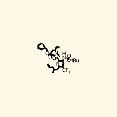 C=CCCC(OCc1ccccc1)(c1nnc(-c2nc(CC(C)CC=C)c(C(F)(F)F)cc2NC(=O)OC(C)(C)C)o1)C(F)(F)F